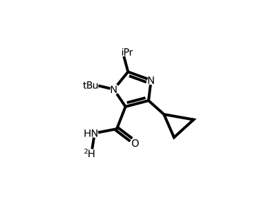 [2H]NC(=O)c1c(C2CC2)nc(C(C)C)n1C(C)(C)C